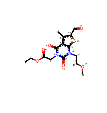 CCOC(=O)Cn1c(=O)c2c(C)c(C=O)sc2n(CCOC)c1=O